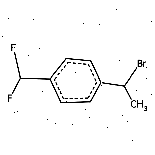 CC(Br)c1ccc(C(F)F)cc1